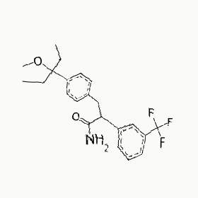 CCC(CC)(OC)c1ccc(CC(C(N)=O)c2cccc(C(F)(F)F)c2)cc1